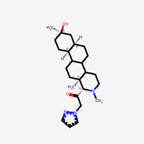 CN1CCC2C3CC[C@@H]4C[C@](C)(O)CC[C@@H]4C3CC[C@]2(C)[C@H]1C(=O)Cn1cccn1